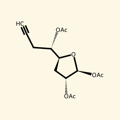 C#CC[C@H](OC(C)=O)[C@@H]1C[C@@H](OC(C)=O)[C@H](OC(C)=O)O1